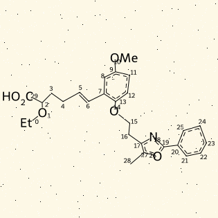 CCOC(CCC=Cc1cc(OC)ccc1OCCc1nc(-c2ccccc2)oc1C)C(=O)O